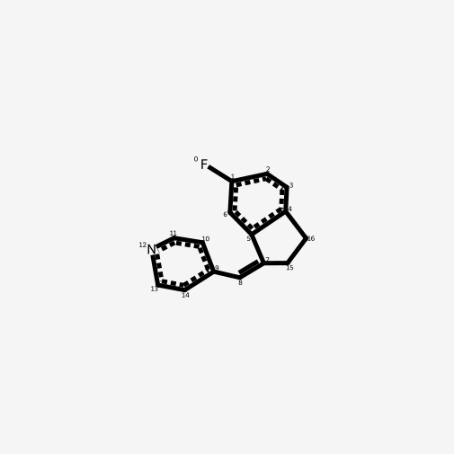 Fc1ccc2c(c1)/C(=C\c1ccncc1)CC2